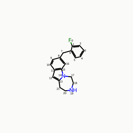 Fc1ccccc1Cc1ccc2cc3n(c2c1)CCNCC3